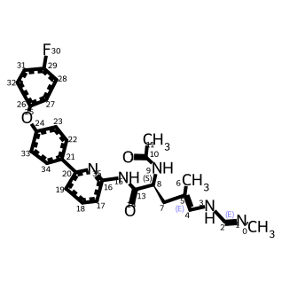 C/N=C/N/C=C(\C)C[C@H](NC(C)=O)C(=O)Nc1cccc(-c2ccc(Oc3ccc(F)cc3)cc2)n1